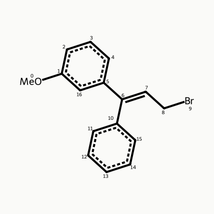 COc1cccc(/C(=C/CBr)c2ccccc2)c1